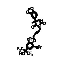 CCCc1cc(C(O)(C(F)(F)F)C(F)(F)F)cc(CCC)c1OCC#CCN1C(=O)NC(C)(c2ccc3c(c2)OCO3)C1=O